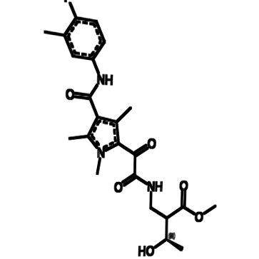 COC(=O)C(CNC(=O)C(=O)c1c(C)c(C(=O)Nc2ccc(F)c(C)c2)c(C)n1C)[C@@H](C)O